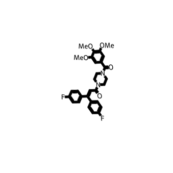 COc1cc(C(=O)N2CCN(C(=O)C=C(c3ccc(F)cc3)c3ccc(F)cc3)CC2)cc(OC)c1OC